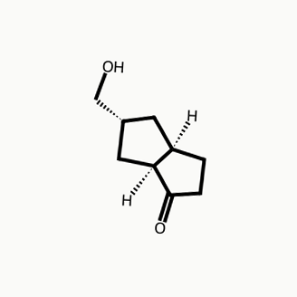 O=C1CC[C@@H]2C[C@@H](CO)C[C@H]12